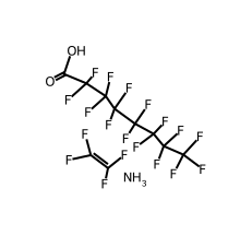 FC(F)=C(F)F.N.O=C(O)C(F)(F)C(F)(F)C(F)(F)C(F)(F)C(F)(F)C(F)(F)C(F)(F)F